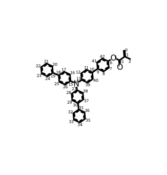 C=C(C)C(=O)Oc1ccc(-c2ccc(N(c3ccc(-c4ccccc4)cc3)c3ccc(-c4ccccc4)cc3)cc2)cc1